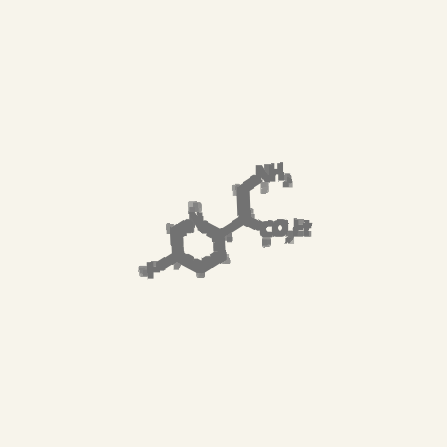 CCOC(=O)C(=CN)c1ccc(F)cn1